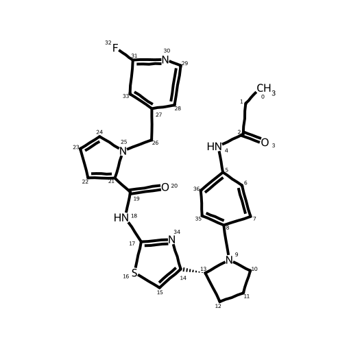 CCC(=O)Nc1ccc(N2CCC[C@@H]2c2csc(NC(=O)c3cccn3Cc3ccnc(F)c3)n2)cc1